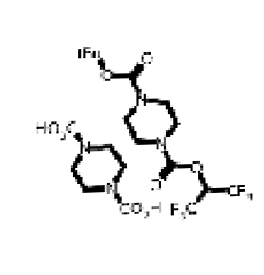 CC(C)(C)OC(=O)N1CCN(C(=O)OC(C(F)(F)F)C(F)(F)F)CC1.O=C(O)N1CCN(C(=O)O)CC1